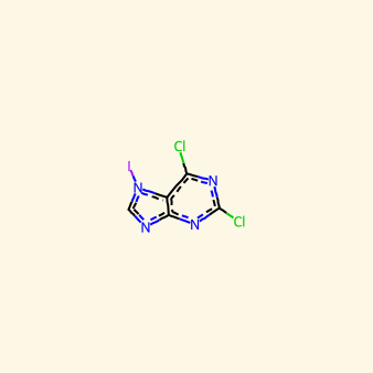 Clc1nc(Cl)c2c(ncn2I)n1